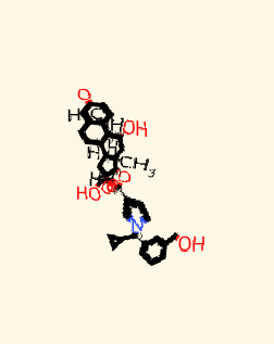 C[C@]12C=CC(=O)C=C1CC[C@@H]1[C@@H]2[C@@H](O)C[C@@]2(C)[C@H]1C[C@H]1O[C@@H](c3ccn([C@H](c4cccc(CO)c4)C4CC4)c3)O[C@]12C(=O)CO